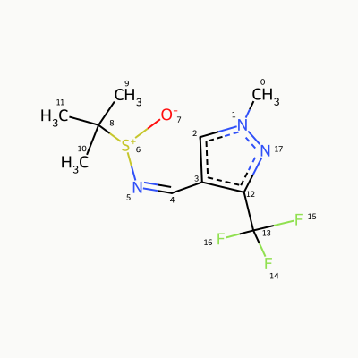 Cn1cc(/C=N\[S+]([O-])C(C)(C)C)c(C(F)(F)F)n1